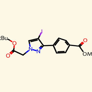 COC(=O)c1ccc(-c2nn(CC(=O)OC(C)(C)C)cc2I)cc1